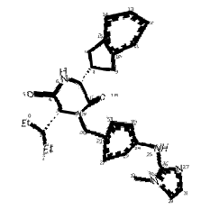 CCC(CC)[C@@H]1C(=O)N[C@H](C2Cc3ccccc3C2)C(=O)N1Cc1ccc(Nc2nccn2C)cc1